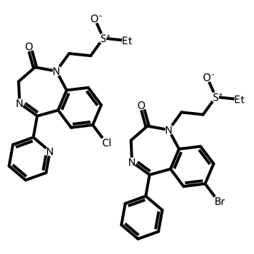 CC[S+]([O-])CCN1C(=O)CN=C(c2ccccc2)c2cc(Br)ccc21.CC[S+]([O-])CCN1C(=O)CN=C(c2ccccn2)c2cc(Cl)ccc21